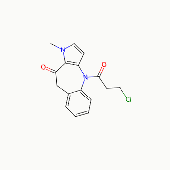 Cn1ccc2c1C(=O)Cc1ccccc1N2C(=O)CCCl